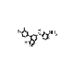 Cc1cc(-c2cc(Nc3ccnc(N)n3)cc3cn[nH]c23)ccc1F